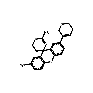 NC1=N[C@@]2(CCS1)c1cc(N)ccc1Oc1cnc(C3=CCCOC3)cc12